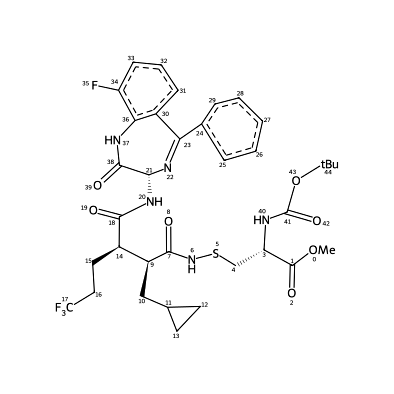 COC(=O)[C@H](CSNC(=O)[C@@H](CC1CC1)[C@@H](CCC(F)(F)F)C(=O)N[C@H]1N=C(c2ccccc2)c2cccc(F)c2NC1=O)NC(=O)OC(C)(C)C